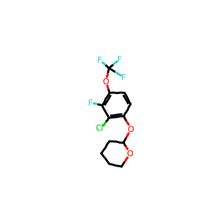 Fc1c(OC(F)(F)F)ccc(OC2CCCCO2)c1Cl